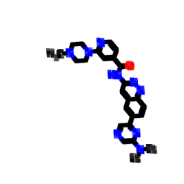 CCN(CC)c1cncc(-c2ccc3nnc(NC(=O)c4ccnc(N5CCN(C)CC5)c4)cc3c2)n1